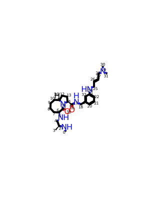 CN[C@@H](C)CN[C@H]1CCCC[C@H]2CC[C@@H](C(=O)NCc3cccc(NC/C=C/CN(C)C)c3)N2C1=O